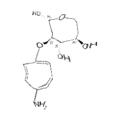 Nc1ccc(O[C@@H]2[C@@H](O)[C@H](O)CO[C@H]2O)cc1